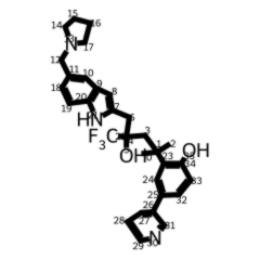 CC(C)(CC(O)(Cc1cc2cc(CN3CCCC3)ccc2[nH]1)C(F)(F)F)c1cc(-c2cccnc2)ccc1O